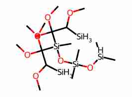 COC([SiH3])C(OC)(OC)[Si](C)(O[Si](C)(C)O[SiH](C)C)C(OC)(OC)C([SiH3])OC